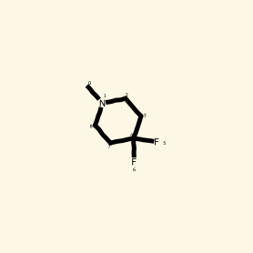 CN1CCC(F)(F)CC1